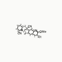 CCc1cc2cc(F)c(C(C)(C#N)Cc3cccc(C#N)c3)cc2nc1OC